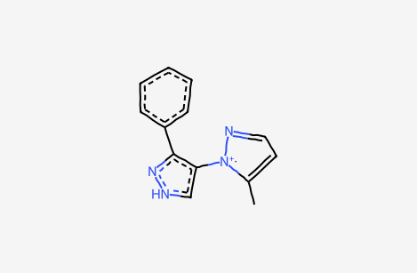 CC1=CC=N[N+]1c1c[nH]nc1-c1ccccc1